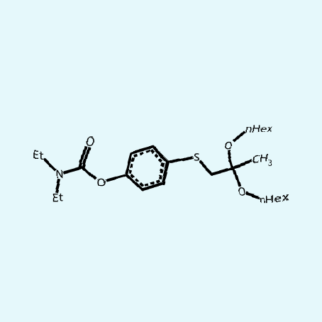 CCCCCCOC(C)(CSc1ccc(OC(=O)N(CC)CC)cc1)OCCCCCC